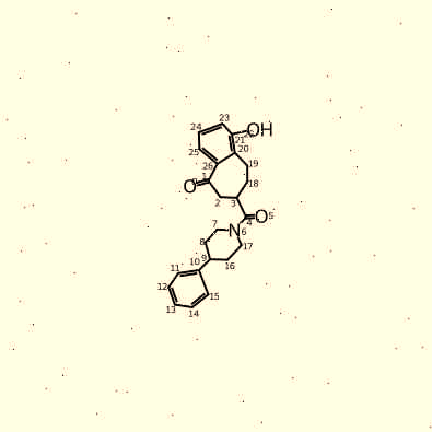 O=C1CC(C(=O)N2CCC(c3ccccc3)CC2)CCc2c(O)cccc21